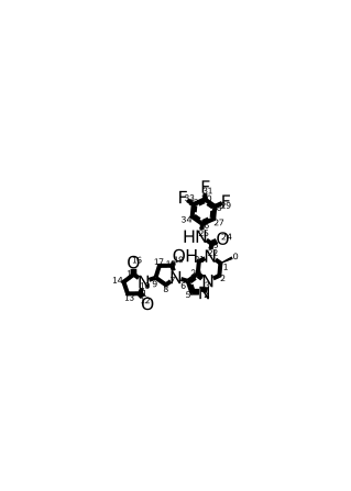 C[C@H]1Cn2ncc(N3CC(N4C(=O)CCC4=O)CC3O)c2CN1C(=O)Nc1cc(F)c(F)c(F)c1